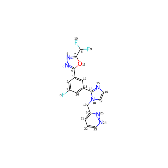 Fc1cc(-c2nnc(C(F)F)o2)cc(-c2nccn2Cc2cccnn2)c1